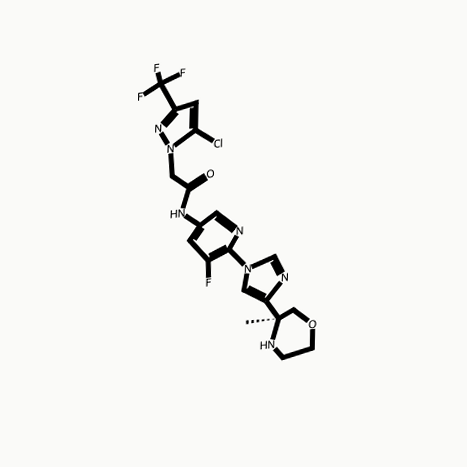 C[C@]1(c2cn(-c3ncc(NC(=O)Cn4nc(C(F)(F)F)cc4Cl)cc3F)cn2)COCCN1